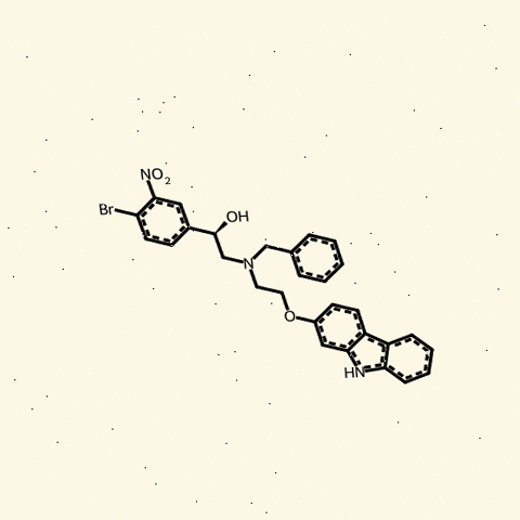 O=[N+]([O-])c1cc([C@@H](O)CN(CCOc2ccc3c(c2)[nH]c2ccccc23)Cc2ccccc2)ccc1Br